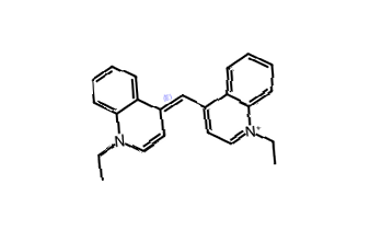 CCN1C=C/C(=C\c2cc[n+](CC)c3ccccc23)c2ccccc21